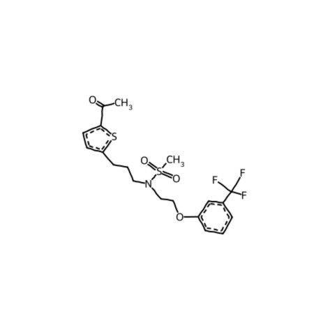 CC(=O)c1ccc(CCCN(CCOc2cccc(C(F)(F)F)c2)S(C)(=O)=O)s1